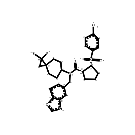 Cc1ccc(S(=O)(=O)[C@@H]2CCC[C@H]2C(=O)N(Cc2ccc3ocnc3c2)C2CCC3(CC2)CC3(F)F)cc1